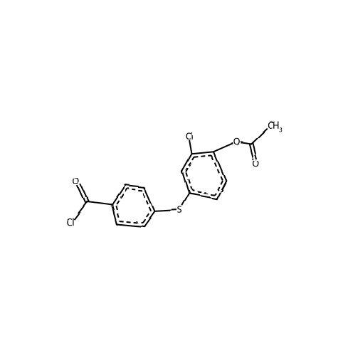 CC(=O)Oc1ccc(Sc2ccc(C(=O)Cl)cc2)cc1Cl